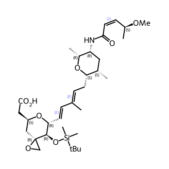 CO[C@@H](C)/C=C\C(=O)N[C@@H]1C[C@H](C)[C@H](C/C=C(C)/C=C/[C@H]2O[C@H](CC(=O)O)C[C@@]3(CO3)[C@@H]2O[Si](C)(C)C(C)(C)C)O[C@@H]1C